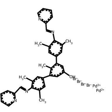 Cc1cc(-c2cc(O)cc(-c3cc(C)c(N=Cc4ccccn4)c(C)c3)c2C)cc(C)c1N=Cc1ccccn1.[Br-].[Br-].[Br-].[Br-].[Pd+2].[Pd+2]